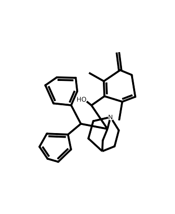 C=C1CC=C(C)C(C(O)C2(C(c3ccccc3)c3ccccc3)CC3CCN2CC3)=C1C